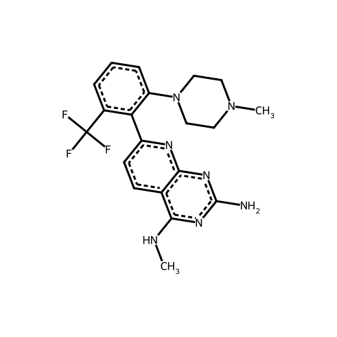 CNc1nc(N)nc2nc(-c3c(N4CCN(C)CC4)cccc3C(F)(F)F)ccc12